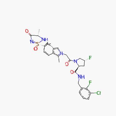 C=C(/C=C\c1c(C(C)=O)cn(CC(=O)N2C[C@H](F)C[C@H]2C(=O)NCc2cccc(Cl)c2F)c1C)[S@]1(=O)=NC(=O)[C@H](C)N1